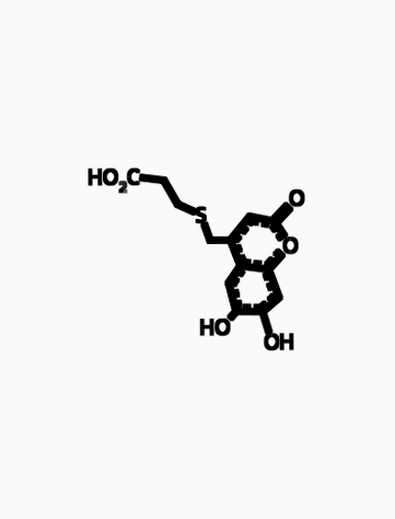 O=C(O)CCSCc1cc(=O)oc2cc(O)c(O)cc12